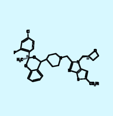 CCOC(=O)c1cc2c(nc(CN3CCC(C4O[C@](C)(c5ccc(Cl)cc5F)Oc5ccccc54)CC3)n2C[C@@H]2CCO2)s1